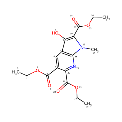 CCOC(=O)c1cc2c(O)c(C(=O)OCC)n(C)c2nc1C(=O)OCC